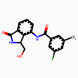 O=C(Nc1cccc2c1C(CO)NC2=O)c1cc(F)cc(C(F)(F)F)c1